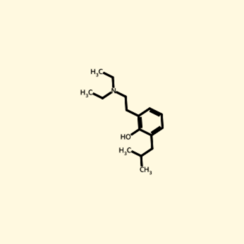 CCN(CC)CCc1cccc(CC(C)C)c1O